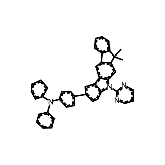 CC1(C)c2ccccc2-c2cc3c4cc(-c5ccc(N(c6ccccc6)c6ccccc6)cc5)ccc4n(-c4ncccn4)c3cc21